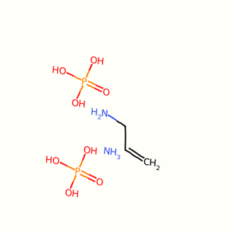 C=CCN.N.O=P(O)(O)O.O=P(O)(O)O